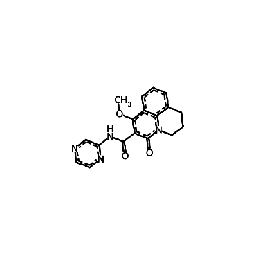 COc1c(C(=O)Nc2cnccn2)c(=O)n2c3c(cccc13)CCC2